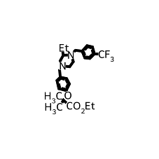 CCOC(=O)C(C)(C)Oc1ccc(CN2CCN(Cc3ccc(C(F)(F)F)cc3)C(CC)C2)cc1